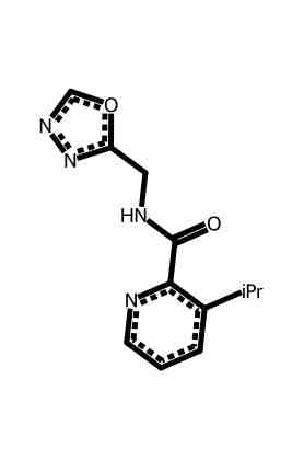 CC(C)c1cccnc1C(=O)NCc1nnco1